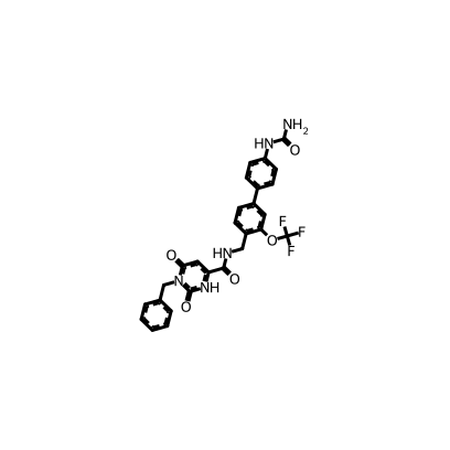 NC(=O)Nc1ccc(-c2ccc(CNC(=O)c3cc(=O)n(Cc4ccccc4)c(=O)[nH]3)c(OC(F)(F)F)c2)cc1